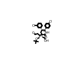 CC(C)(C)OC[C@@H](CC=O)[C@@]1(CC(=O)O)C[C@H](c2cccc(Cl)c2)[C@@H](c2ccc(Cl)cc2)NC1=O